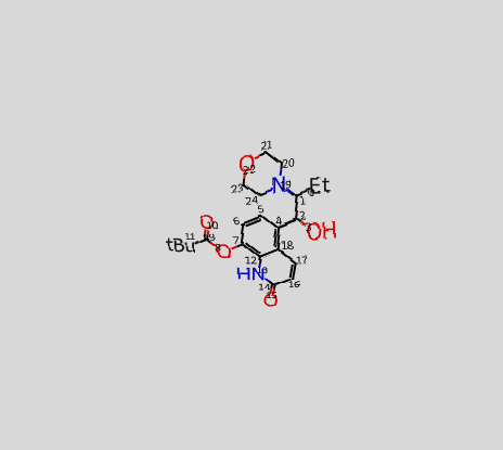 CCC(C(O)c1ccc(OC(=O)C(C)(C)C)c2[nH]c(=O)ccc12)N1CCOCC1